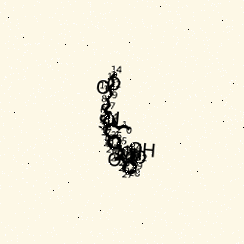 CCCc1nc(SCCCC(=O)OCC)sc1Cc1ccc(NC(=O)c2ccccc2S(=O)(=O)O)cc1